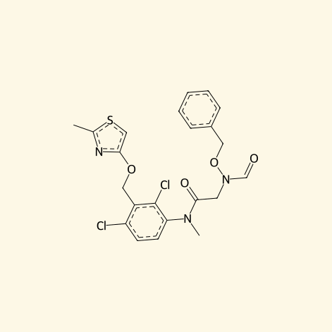 Cc1nc(OCc2c(Cl)ccc(N(C)C(=O)CN(C=O)OCc3ccccc3)c2Cl)cs1